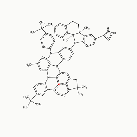 Cc1cc2c3c(c1)N(c1ccc(C(C)(C)C)cc1-c1ccccc1)c1cc4c(cc1B3c1ccc(N3c5ccc(-c6c[nH][nH]6)cc5C5(C)CCc6ccccc6C35C)cc1N2c1ccc(C(C)(C)C)cc1)CC(C)(C)C4